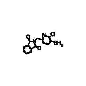 Bc1ccc(CN2C(=O)c3ccccc3C2=O)nc1Cl